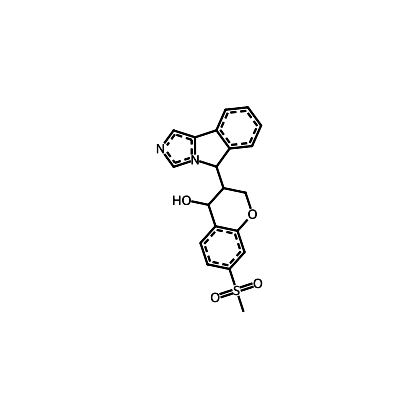 CS(=O)(=O)c1ccc2c(c1)OCC(C1c3ccccc3-c3cncn31)C2O